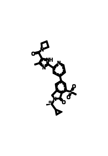 Cc1nc(-c2cc(-c3cc4c(c(S(C)(=O)=O)c3)C(=O)N([C@@H](C)C3CC3)C4)ccn2)[nH]c1C(=O)N1CCC1